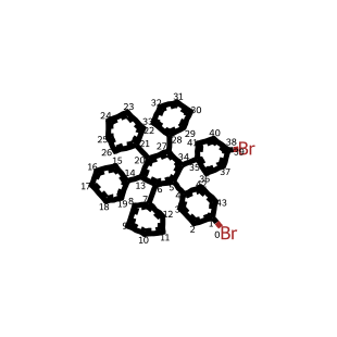 Brc1ccc(-c2c(-c3ccccc3)c(-c3ccccc3)c(-c3ccccc3)c(-c3ccccc3)c2-c2ccc(Br)cc2)cc1